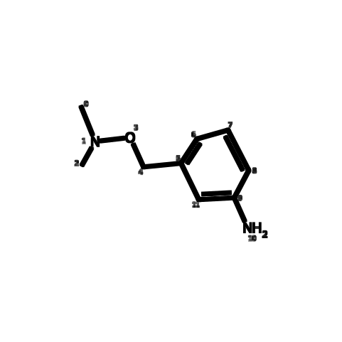 CN(C)OCc1cccc(N)c1